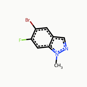 Cn1ncc2cc(Br)c(F)cc21